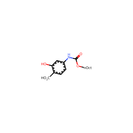 CCCCCCCCOC(=O)Nc1ccc(C(=O)O)c(O)c1